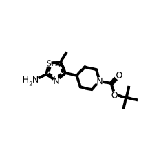 Cc1sc(N)nc1C1CCN(C(=O)OC(C)(C)C)CC1